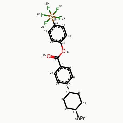 CCC[C@H]1CC[C@H](c2ccc(C(=O)Oc3ccc(S(F)(F)(F)(F)F)cc3)cc2)CC1